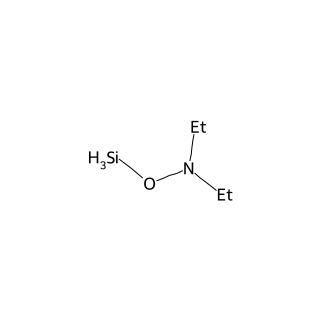 CCN(CC)O[SiH3]